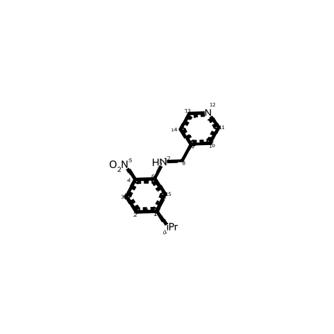 CC(C)c1ccc([N+](=O)[O-])c(NCc2ccncc2)c1